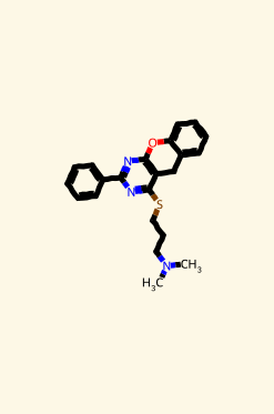 CN(C)CCCSc1nc(-c2ccccc2)nc2c1Cc1ccccc1O2